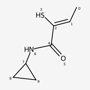 C/C=C(\S)C(=O)NC1CC1